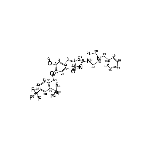 COc1cc(/C=C2/SC(N3CCN(Cc4ccccc4)CC3)=NC2=O)ccc1OCc1ccc(C(F)(F)F)cc1C(F)(F)F